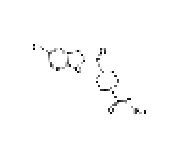 CC(C)(C)OC(=O)N1CCN(C(=O)C2Cc3cc(Cl)ccc3O2)CC1